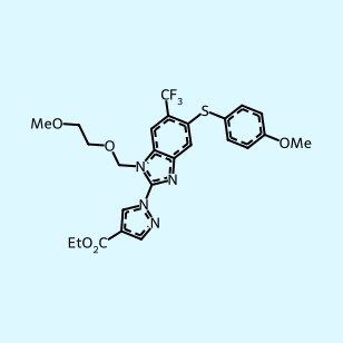 CCOC(=O)c1cnn(-c2nc3cc(Sc4ccc(OC)cc4)c(C(F)(F)F)cc3n2COCCOC)c1